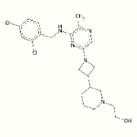 Cc1ncc(N2CC(C3CCCN(CCO)C3)C2)nc1NCc1ccc(Cl)cc1Cl